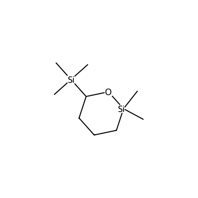 C[Si]1(C)CCCC([Si](C)(C)C)O1